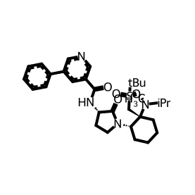 CC(C)N(C)[C@]1(CS(=O)(=O)C(C)(C)C)CCCC[C@@H]1N1CC[C@H](NC(=O)c2cncc(-c3ccccc3)c2)C1=O